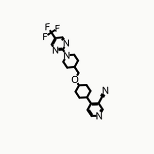 N#Cc1cnccc1C1CCC(OCC2CCN(c3ncc(C(F)(F)F)cn3)CC2)CC1